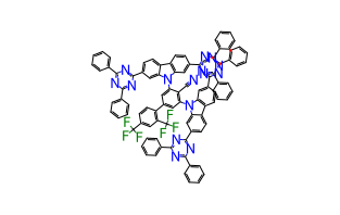 N#Cc1c(-n2c3cc(-c4ncnc(-c5ccccc5)n4)ccc3c3ccc(-c4nc(-c5ccccc5)nc(-c5ccccc5)n4)cc32)cc(-c2ccc(C(F)(F)F)cc2C(F)(F)F)cc1-n1c2cc(-c3nc(-c4ccccc4)nc(-c4ccccc4)n3)ccc2c2ccc(-c3nc(-c4ccccc4)nc(-c4ccccc4)n3)cc21